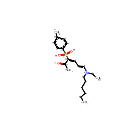 CCCCCCN(C=CC=C(C(C)=O)S(=O)(=O)c1ccc(C)cc1)CC